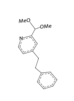 COC(OC)c1cc(CCc2ccccc2)ccn1